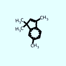 CC1=CC(C)(C)c2cc(C)ccc21